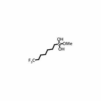 CO[Si](O)(O)CCCCCCC(F)(F)F